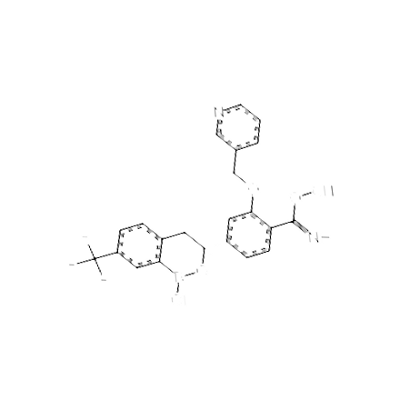 COC(=N)c1ccc([C@H]2Cc3ccc(C(F)(F)F)cc3B(O)O2)cc1OCc1cccnc1